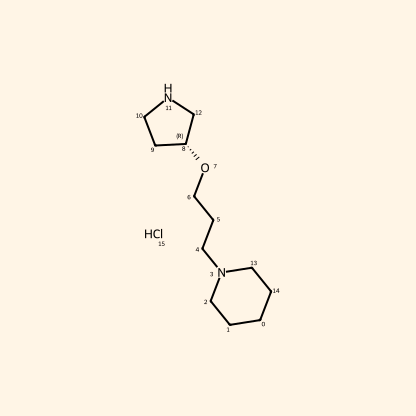 C1CCN(CCCO[C@@H]2CCNC2)CC1.Cl